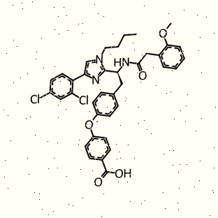 CCCCn1cc(-c2ccc(Cl)cc2Cl)nc1[C@H](Cc1ccc(Oc2ccc(C(=O)O)cc2)cc1)NC(=O)Cc1ccccc1OC